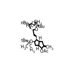 C=C1C[C@@H]2[C@H](/C=C/[C@H](C[C@@H](C)CCCC)O[Si](C)(C)C(C)(C)C)[C@H](O[Si](C)(C)C(C)(C)C)C[C@@H]2C1OC(C)=O